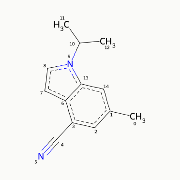 Cc1cc(C#N)c2ccn(C(C)C)c2c1